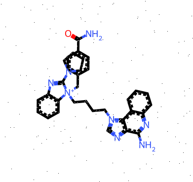 NC(=O)c1ccc(C[N+]2(CCCCn3cnc4c(N)nc5ccccc5c43)C(N3CCCC3)=Nc3ccccc32)cc1